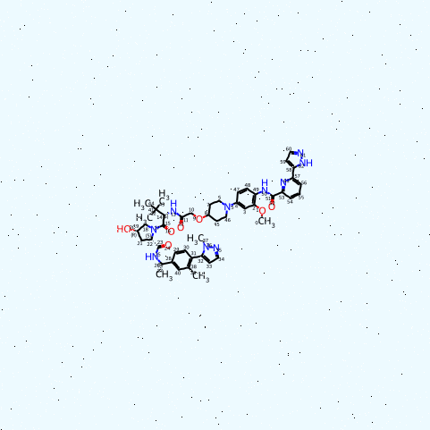 COc1cc(N2CCC(OCC(=O)N[C@H](C(=O)N3C[C@H](O)C[C@H]3C(=O)N[C@@H](C)c3ccc(-c4ccnn4C)c(C)c3)C(C)(C)C)CC2)ccc1NC(=O)c1cccc(-c2ccn[nH]2)n1